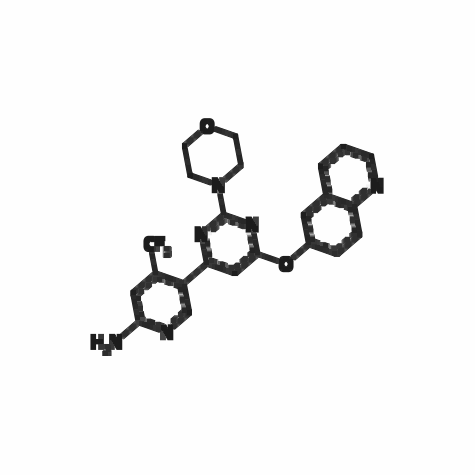 Nc1cc(C(F)(F)F)c(-c2cc(Oc3ccc4ncccc4c3)nc(N3CCOCC3)n2)cn1